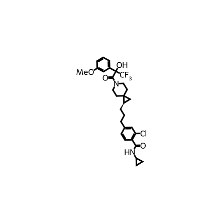 COc1cccc(C(O)(C(=O)N2CCC3(CC2)C[C@H]3CCCc2ccc(C(=O)NC3CC3)c(Cl)c2)C(F)(F)F)c1